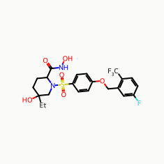 CCC1(O)CCC(C(=O)NO)N(S(=O)(=O)c2ccc(OCc3cc(F)ccc3C(F)(F)F)cc2)C1